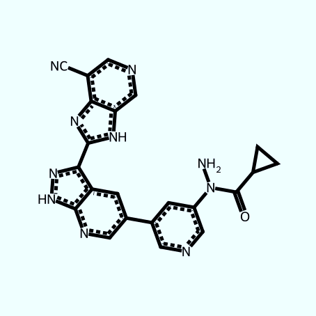 N#Cc1cncc2[nH]c(-c3n[nH]c4ncc(-c5cncc(N(N)C(=O)C6CC6)c5)cc34)nc12